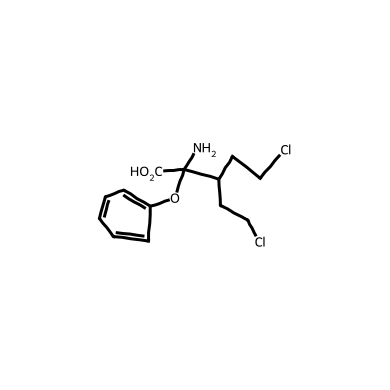 NC(Oc1ccccc1)(C(=O)O)C(CCCl)CCCl